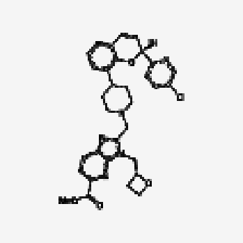 [2H][C@]1(c2ccc(Cl)cn2)C=Cc2cccc(C3CCN(Cc4nc5ccc(C(=O)OC)nc5n4C[C@@H]4CCO4)CC3)c2O1